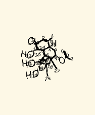 C=C(C)O[C@@H]1C[C@H]2C(C)=CC(=O)[C@@H](O)[C@]2(C)C2[C@@]13CO[C@@]2(O)[C@H](O)[C@H](C)C3C